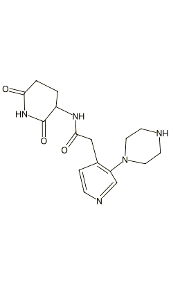 O=C1CCC(NC(=O)Cc2ccncc2N2CCNCC2)C(=O)N1